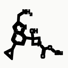 CC(C)(C)OC(=O)N1CC(O)(c2cc(C3CC3)cn3cc(CN)nc23)C1